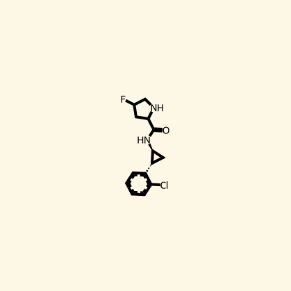 O=C(N[C@H]1C[C@@H]1c1ccccc1Cl)C1CC(F)CN1